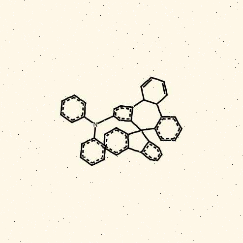 C1=CC2c3ccccc3C3(c4ccccc4-c4ccccc43)c3cc(N(c4ccccc4)c4ccccc4)ccc3C2C=C1